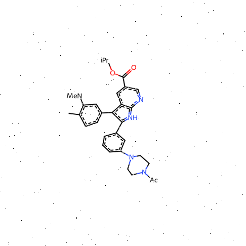 CNc1cc(-c2c(-c3cccc(N4CCN(C(C)=O)CC4)c3)[nH]c3ncc(C(=O)OC(C)C)cc23)ccc1C